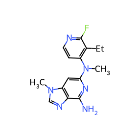 CCc1c(N(C)c2cc3c(ncn3C)c(N)n2)ccnc1F